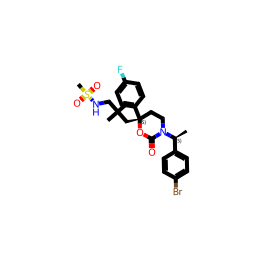 C[C@@H](c1ccc(Br)cc1)N1CC[C@@](CC(C)(C)CNS(C)(=O)=O)(c2ccc(F)cc2)OC1=O